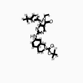 CCn1c(=O)c2cnc(Nc3ccc4c(c3)CN(C(=O)OC(C)(C)C)CC4)nc2n1-c1nc(C(C)(C)C)cs1